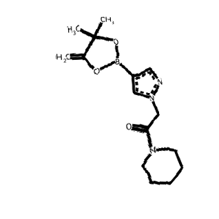 C=C1OB(c2cnn(CC(=O)N3CCCCC3)c2)OC1(C)C